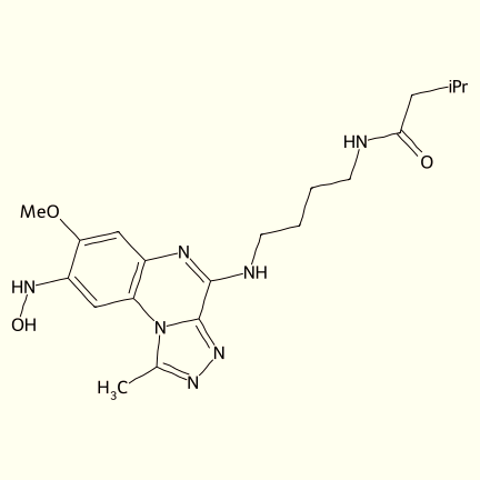 COc1cc2nc(NCCCCNC(=O)CC(C)C)c3nnc(C)n3c2cc1NO